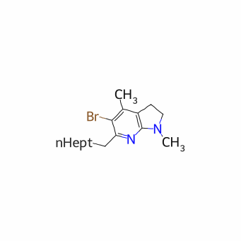 CCCCCCCCc1nc2c(c(C)c1Br)CCN2C